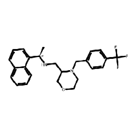 C[C@@H](NCC1COCCN1Cc1ccc(C(F)(F)F)cc1)c1cccc2ccccc12